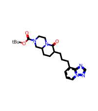 CC(C)(C)OC(=O)N1CCN2C(=O)C(CCCc3cccn4ncnc34)CCC2C1